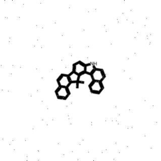 CC1(C)c2c(ccc3ccccc23)-c2ccc3[nH]c4ccc5ccccc5c4c3c21